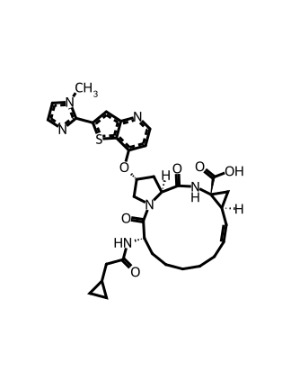 Cn1ccnc1-c1cc2nccc(O[C@@H]3C[C@H]4C(=O)N[C@]5(C(=O)O)C[C@H]5C=CCCCCC[C@H](NC(=O)CC5CC5)C(=O)N4C3)c2s1